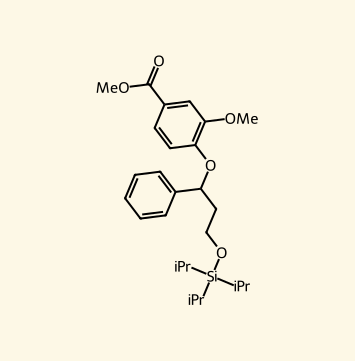 COC(=O)c1ccc(OC(CCO[Si](C(C)C)(C(C)C)C(C)C)c2ccccc2)c(OC)c1